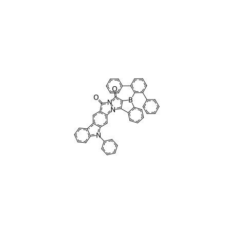 O=c1c2c(n3c4cc5c(cc4c(=O)n13)c1ccccc1n5-c1ccccc1)-c1ccccc1B2c1c(-c2ccccc2)cccc1-c1ccccc1